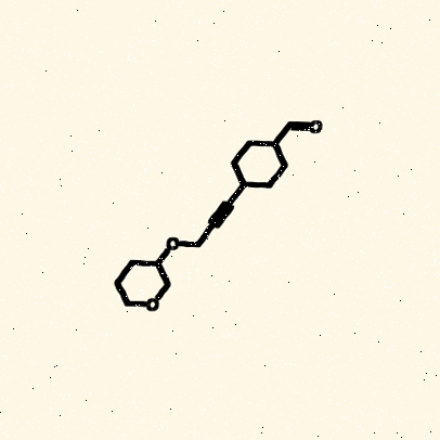 O=CC1CCC(C#CCOC2CCCOC2)CC1